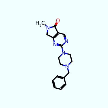 CN1Cc2nc(N3CCN(Cc4ccccc4)CC3)ncc2C1=O